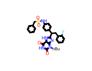 CCCCn1c(=O)[nH]c(=O)c2[nH]c(C(Cc3ccccc3F)c3ccc(NS(=O)(=O)Cc4ccccc4)cc3)nc21